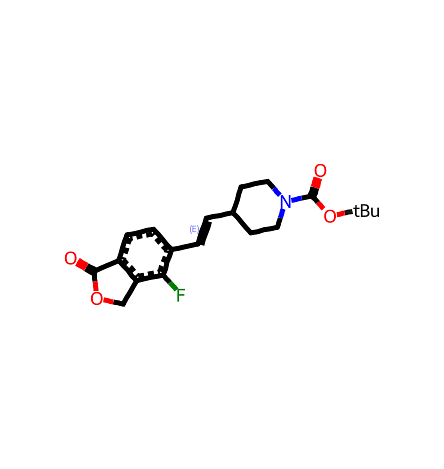 CC(C)(C)OC(=O)N1CCC(/C=C/c2ccc3c(c2F)COC3=O)CC1